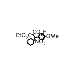 CCOC(=O)C(C(=O)O)C(c1ccc(OC)cc1)C1([N+](=O)[O-])CCCCC1